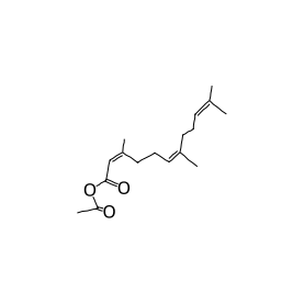 CC(=O)OC(=O)C=C(C)CCC=C(C)CCC=C(C)C